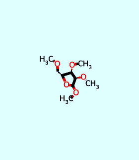 COC[C@H]1OC(OC)[C@H](OC)[C@H]1OC